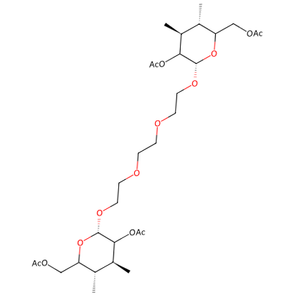 CC(=O)OCC1O[C@H](OCCOCCOCCO[C@H]2OC(COC(C)=O)[C@@H](C)[C@H](C)C2OC(C)=O)C(OC(C)=O)[C@@H](C)[C@@H]1C